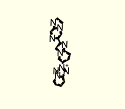 c1ccn2n[n+](-c3ccc4nc(-c5cn6ccnc6cn5)cn4c3)nc2c1